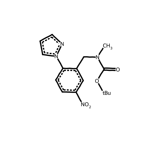 CN(Cc1cc([N+](=O)[O-])ccc1-n1cccn1)C(=O)OC(C)(C)C